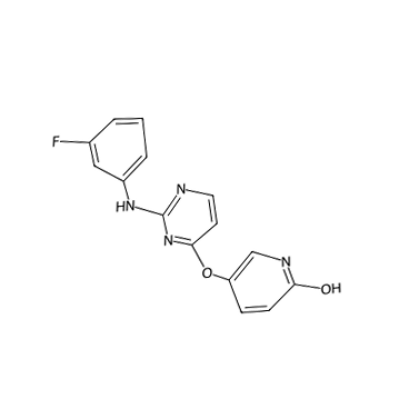 Oc1ccc(Oc2ccnc(Nc3cccc(F)c3)n2)cn1